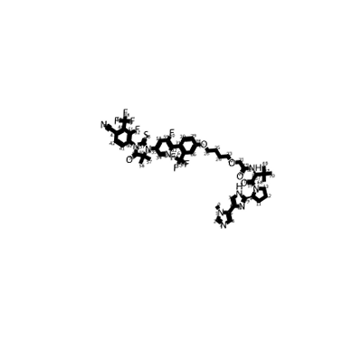 Cn1cncc1-c1c[nH]c([C@@H]2CCCN2C(=O)[C@@H](NC(=O)COCCCCOc2ccc(-c3ncc(N4C(=S)N(c5ccc(C#N)c(C(F)(F)F)c5F)C(=O)C4(C)C)cc3F)c(C(F)(F)F)c2)C(C)(C)C)n1